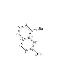 CC(C)(C)c1ccc2cccc(C(C)(C)C)c2n1